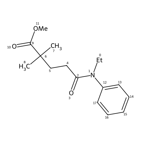 CCN(C(=O)CCC(C)(C)C(=O)OC)c1ccccc1